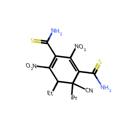 CCC1C([N+](=O)[O-])=C(C(N)=S)C([N+](=O)[O-])=C(C(N)=S)C1(C#N)C(C)C